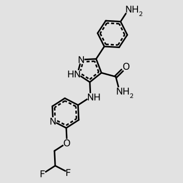 NC(=O)c1c(-c2ccc(N)cc2)n[nH]c1Nc1ccnc(OCC(F)F)c1